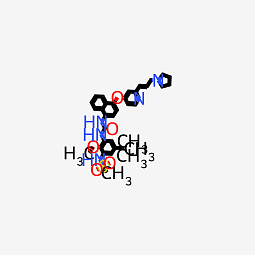 COc1c(NC(=O)Nc2ccc(Oc3ccnc(C=CCN4CCCC4)c3)c3ccccc23)cc(C(C)(C)C)cc1NS(C)(=O)=O